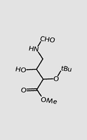 COC(=O)C(OC(C)(C)C)C(O)CNC=O